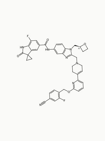 N#Cc1ccc(COc2cccc(C3=CCN(Cc4nc5cc(NC(=O)c6cc(F)c7c(c6)C6(CC6)C(=O)N7)ccc5n4C[C@@H]4CCO4)CC3)n2)c(F)c1